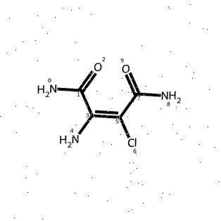 NC(=O)/C(N)=C(/Cl)C(N)=O